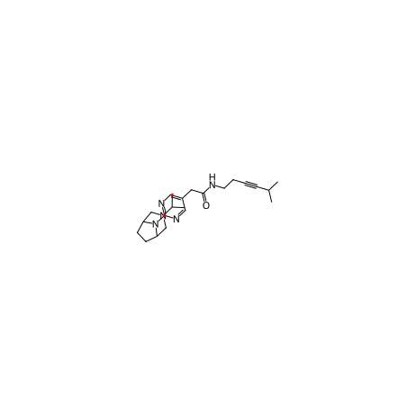 CC(C)C#CCCNC(=O)Cc1cnc(N2C3CCC2CN(C(C)C)C3)nc1